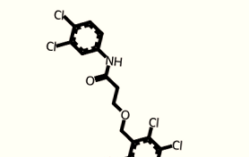 O=C(CCOCc1c(Cl)ccc(Cl)c1Cl)Nc1ccc(Cl)c(Cl)c1